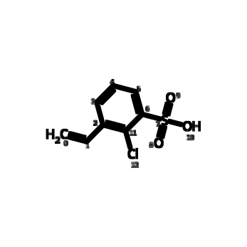 C=Cc1cccc(S(=O)(=O)O)c1Cl